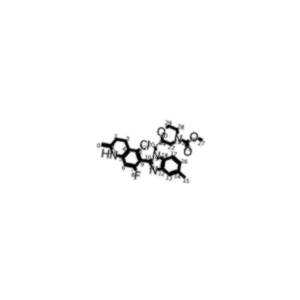 C=C1CCc2c(cc(F)c(-c3nc4cc(C)ccc4n3C[C@H]3CN(C(=O)OC)CCO3)c2Cl)N1